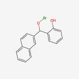 Oc1ccccc1C(OBr)c1ccc2ccccc2c1